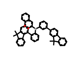 CC1(C)c2ccccc2-c2ccc(-c3cccc(N(c4ccc5ccccc5c4)c4ccccc4-c4cccc5c4-c4ccccc4C5(C)C)c3)cc21